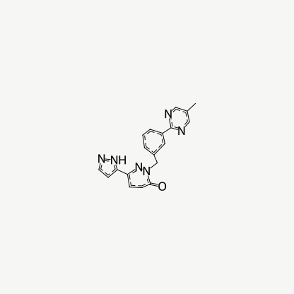 Cc1cnc(-c2cccc(Cn3nc(-c4ccn[nH]4)ccc3=O)c2)nc1